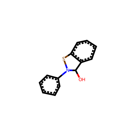 OC1c2ccccc2SN1c1ccccc1